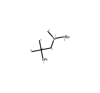 CCCCN(C)CC(C)(C)CCC